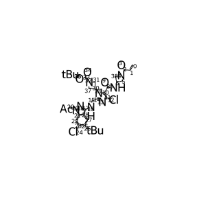 C=CC(=O)N1CC(NC(=O)c2c(Cl)nc(CNc3nn(C(C)=O)c4cc(Cl)c(C(C)(C)C)cc34)n2C2CN(C(=O)OC(C)(C)C)C2)C1